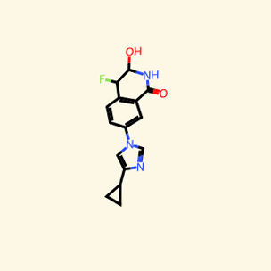 O=C1NC(O)C(F)c2ccc(-n3cnc(C4CC4)c3)cc21